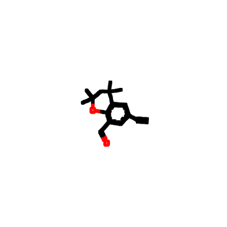 C#Cc1cc(C=O)c2c(c1)C(C)(C)CC(C)(C)O2